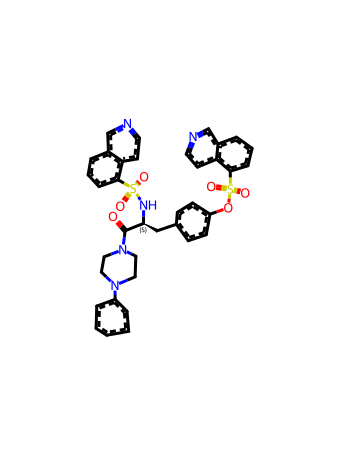 O=C([C@H](Cc1ccc(OS(=O)(=O)c2cccc3cnccc23)cc1)NS(=O)(=O)c1cccc2cnccc12)N1CCN(c2ccccc2)CC1